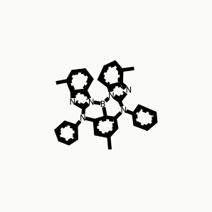 Cc1cc2c3c(c1)N(c1ccccc1)c1nc4c(C)cccc4n1B3n1c(nc3c(C)cccc31)N2c1ccccc1